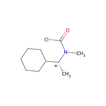 C[C@H](C1CCCCC1)N(C)C(=O)Cl